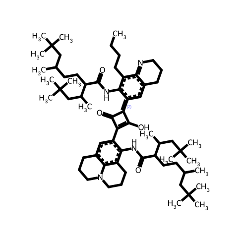 CCCCc1c(NC(=O)C(CCC(C)CC(C)(C)C)C(C)CC(C)(C)C)/c(=C2\C(=O)C(c3cc4c5c(c3NC(=O)C(CCC(C)CC(C)(C)C)C(C)CC(C)(C)C)CCCN5CCC4)=C2O)cc2c1=NCCC2